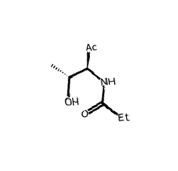 CCC(=O)N[C@H](C(C)=O)[C@@H](C)O